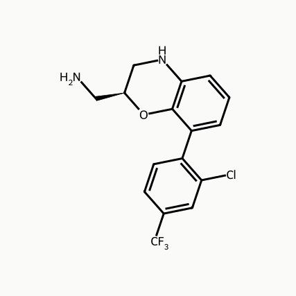 NC[C@H]1CNc2cccc(-c3ccc(C(F)(F)F)cc3Cl)c2O1